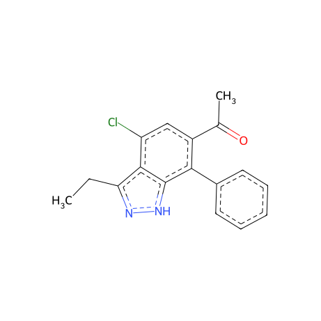 CCc1n[nH]c2c(-c3ccccc3)c(C(C)=O)cc(Cl)c12